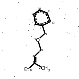 [CH2]CC(C)=CCOCc1ccccc1